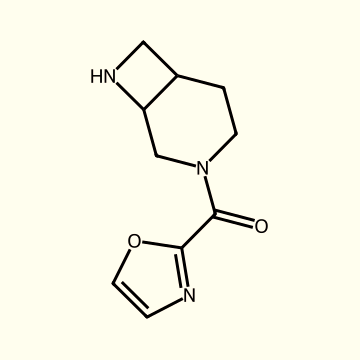 O=C(c1ncco1)N1CCC2CNC2C1